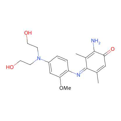 COc1cc(N(CCO)CCO)ccc1N=C1C(C)=CC(=O)C(N)=C1C